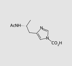 CC(=O)N[C@H](C)Cc1cn(C(=O)O)cn1